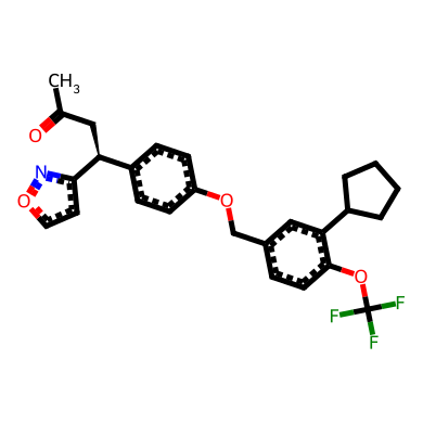 CC(=O)C[C@@H](c1ccc(OCc2ccc(OC(F)(F)F)c(C3CCCC3)c2)cc1)c1ccon1